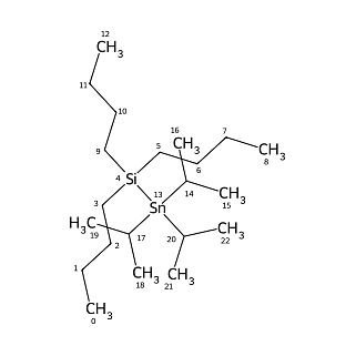 CCCC[Si](CCCC)(CCCC)[Sn]([CH](C)C)([CH](C)C)[CH](C)C